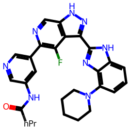 CCCC(=O)Nc1cncc(-c2ncc3[nH]nc(-c4nc5c(N6CCCCC6)cccc5[nH]4)c3c2F)c1